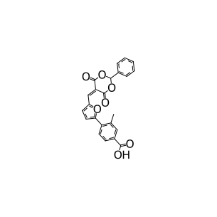 Cc1cc(C(=O)O)ccc1-c1ccc(C=C2C(=O)OC(c3ccccc3)OC2=O)o1